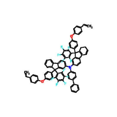 C=Cc1ccc(Oc2ccc(C3(c4c(F)c(F)c(F)c(F)c4F)C4=C(C=CCC4)c4ccc(N(c5ccc(-c6ccccc6)cc5)c5ccc6c(c5)C(c5ccc(Oc7ccc(C=C)cc7)cc5)(c5c(F)c(F)c(F)c(F)c5F)c5ccccc5-6)cc43)cc2)cc1